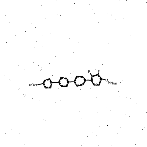 CCCCCCCCCOc1ccc(-c2ccc(-c3ccc(-c4ccc(CCCCCCCC)cc4)cc3)cc2)c(F)c1F